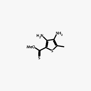 COC(=S)c1sc(C)c(N)c1N